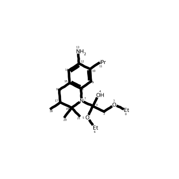 CCOCC(O)(OCC)N1c2cc(C(C)C)c(N)cc2CC(C)C1(C)C